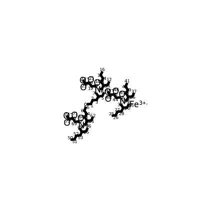 CCCCC(CC)CN(CC(CC)CCCC)C(=O)CC(=O)C(=O)[O-].CCCCC(CC)CN(CC(CC)CCCC)C(=O)CC(=O)C(=O)[O-].CCCCC(CC)CN(CC(CC)CCCC)C(=O)CC(=O)C(=O)[O-].[Fe+3]